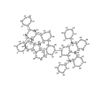 c1ccc(-c2nc(-c3ccccc3)nc(-c3cccc(-c4cccc(-c5cc6c7c(c5)N(c5ccccc5)c5ccccc5B7c5ccccc5N6c5ccccc5)c4)c3-n3c4ccccc4c4ccccc43)n2)cc1